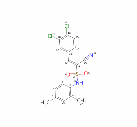 Cc1ccc(NS(=O)(=O)C(C#N)=Cc2ccc(Cl)c(Cl)c2)c(C)c1